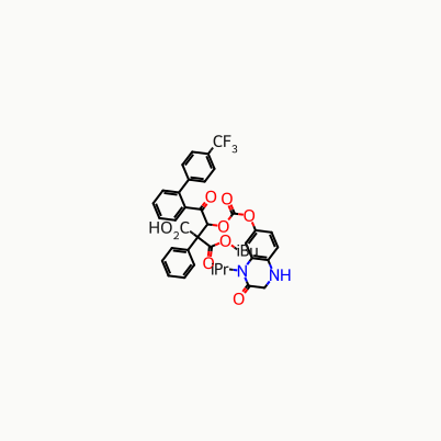 CCC(C)OC(=O)C(C(=O)O)(c1ccccc1)C(OC(=O)Oc1ccc2c(c1)N(C(C)C)C(=O)CN2)C(=O)c1ccccc1-c1ccc(C(F)(F)F)cc1